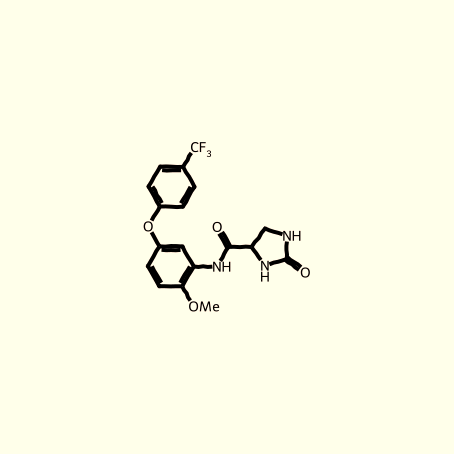 COc1ccc(Oc2ccc(C(F)(F)F)cc2)cc1NC(=O)C1CNC(=O)N1